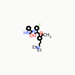 CCN(CC)CCCc1ccc2c(c1)C(C)OC2=C1C(=O)[N+](=C2C(=O)Nc3ccccc32)c2ccc(F)cc21